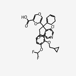 O=C(O)C1=COC=C(C(Cc2ccc(OC(F)F)c(OCC3CC3)c2)(C2=CC=CCC2)c2c(Cl)cncc2Cl)O1